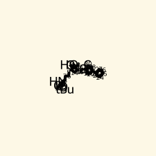 CN1C(=O)[C@H](CCCCNC(=O)OC(C)(C)C)C[C@H]1COc1ccc(-c2ccccc2)cc1C(=O)O